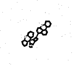 c1ccc2c(c1)Oc1ccccc1C21c2ccccc2-c2ccc(-c3ccc4c5c(cccc35)-c3ccccc3S4)cc21